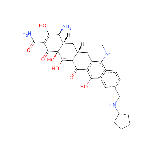 CN(C)c1c2c(c(O)c3cc(CNC4CCCC4)ccc13)C(=O)C1=C(O)[C@]3(O)C(=O)C(C(N)=O)=C(O)[C@@H](N)[C@@H]3C[C@@H]1C2